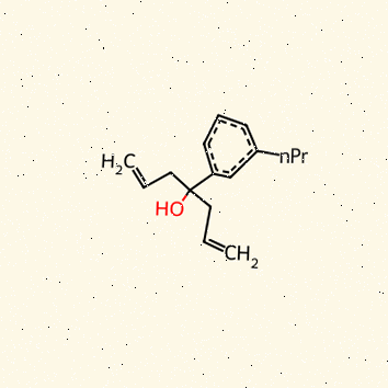 C=CCC(O)(CC=C)c1cccc(CCC)c1